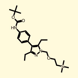 CCc1nn(COCC[Si](C)(C)C)c(CC)c1-c1ccc(NC(=O)OC(C)(C)C)cc1